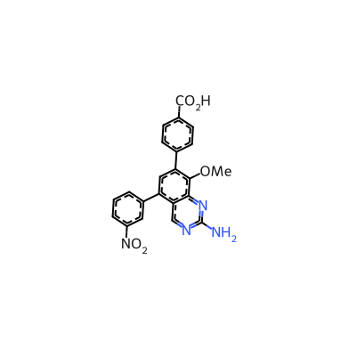 COc1c(-c2ccc(C(=O)O)cc2)cc(-c2cccc([N+](=O)[O-])c2)c2cnc(N)nc12